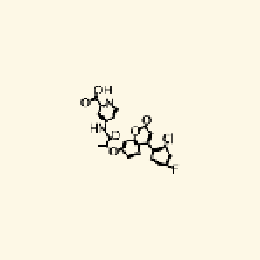 CC(Oc1ccc2c(-c3ccc(F)cc3Cl)cc(=O)oc2c1)C(=O)Nc1ccnc(C(=O)O)c1